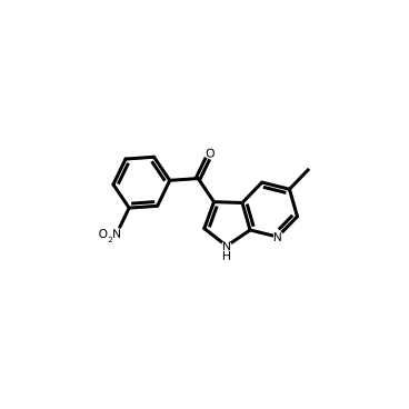 Cc1cnc2[nH]cc(C(=O)c3cccc([N+](=O)[O-])c3)c2c1